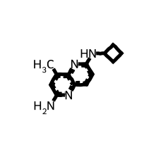 Cc1cc(N)nc2ccc(NC3CCC3)nc12